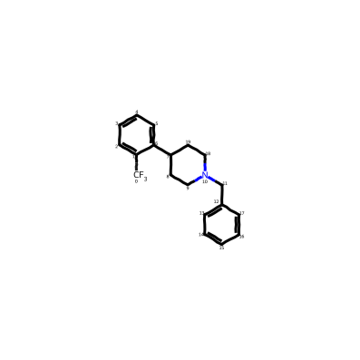 FC(F)(F)c1ccccc1C1CCN(Cc2ccccc2)CC1